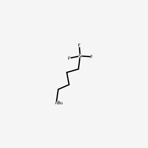 CCCCCCCC[Si](F)(F)F